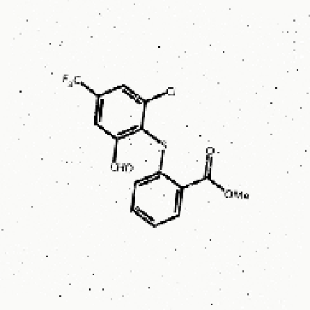 COC(=O)c1ccccc1Sc1c(Cl)cc(C(F)(F)F)cc1C=O